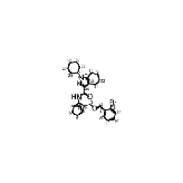 O=C(N[C@@H]1C2CCC(C2)[C@@H]1COCc1ccccc1Br)c1nn(C2CCCCC2)c2c1CCCC2